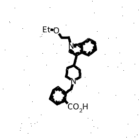 CCOCCn1cc(C2CCN(Cc3ccccc3C(=O)O)CC2)c2ccccc21